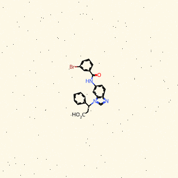 O=C(O)CC(c1ccccc1)n1cnc2ccc(NC(=O)c3cccc(Br)c3)cc21